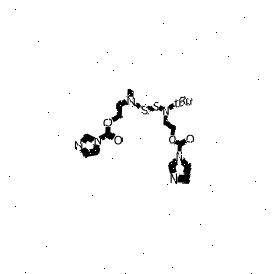 CN(CCOC(=O)n1ccnc1)SSN(CCOC(=O)n1ccnc1)C(C)(C)C